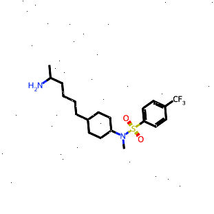 CC(N)CCCCC1CCC(N(C)S(=O)(=O)c2ccc(C(F)(F)F)cc2)CC1